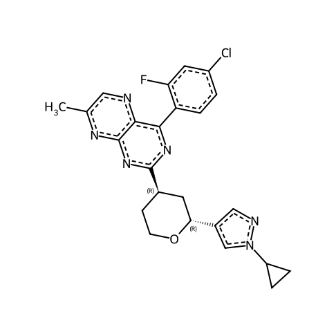 Cc1cnc2c(-c3ccc(Cl)cc3F)nc([C@@H]3CCO[C@@H](c4cnn(C5CC5)c4)C3)nc2n1